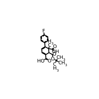 CC(C)(C)OC(=O)C1C(C(=O)O)=CC=C(c2ccc(F)cc2)C1(C)C(=O)O